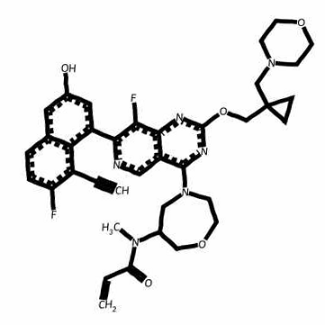 C#Cc1c(F)ccc2cc(O)cc(-c3ncc4c(N5CCOCC(N(C)C(=O)C=C)C5)nc(OCC5(CN6CCOCC6)CC5)nc4c3F)c12